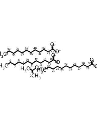 CC(C)[O][Ti+3].CCCCCCCCCCCC(=O)[O-].CCCCCCCCCCCC(=O)[O-].CCCCCCCCCCCC(=O)[O-]